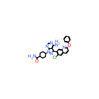 NC(=O)C1CCC(n2nc(-c3cc4nc(Oc5ccccc5)ccc4cc3Cl)c3c(N)ncnc32)CC1